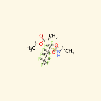 C=CC(=O)OCC.CCNS(=O)(=O)C(F)(F)C(F)(F)C(F)(F)C(F)(F)F